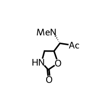 CN[C@H](C(C)=O)C1CNC(=O)O1